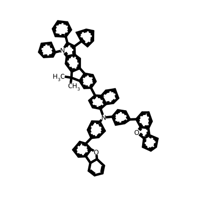 CC1(C)c2cc(-c3ccc(N(c4ccc(-c5cccc6c5OC5C=CC=CC65)cc4)c4ccc(-c5cccc6c5oc5ccccc56)cc4)c4ccccc34)ccc2-c2cc3c(-c4ccccc4)c(-c4ccccc4)n(-c4ccccc4)c3cc21